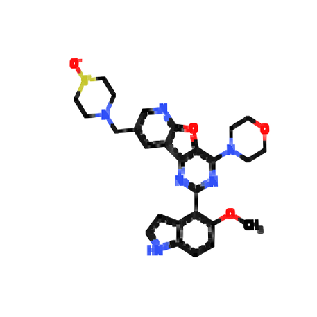 COc1ccc2[nH]ccc2c1-c1nc(N2CCOCC2)c2oc3ncc(CN4CC[S+]([O-])CC4)cc3c2n1